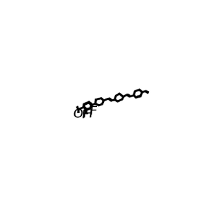 C=CC1C=CC(/C=C/C2CCC(/C=C/C3CCC(c4ccc(C(C)O)c(F)c4F)CC3)CC2)CC1